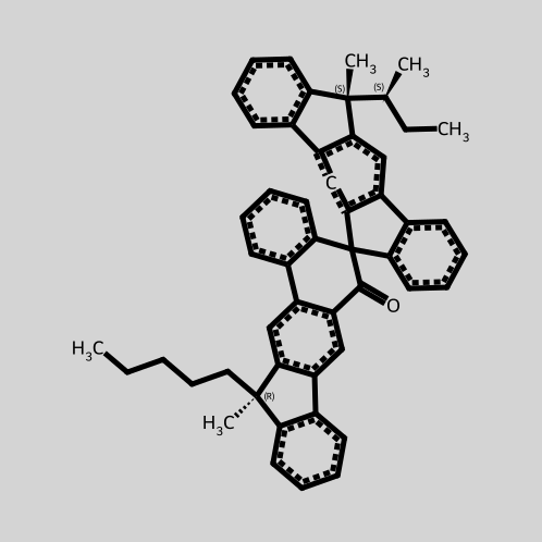 CCCCC[C@]1(C)c2ccccc2-c2cc3c(cc21)-c1ccccc1C1(C3=O)c2ccccc2-c2cc3c(cc21)-c1ccccc1[C@]3(C)[C@@H](C)CC